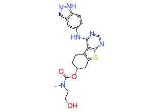 CN(CCO)C(=O)OC1CCc2c(sc3ncnc(Nc4ccc5[nH]ncc5c4)c23)C1